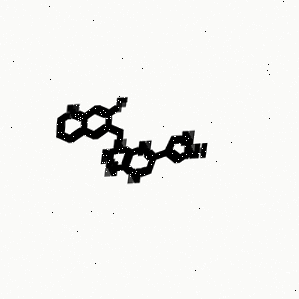 Fc1cc2ncccc2cc1Cn1nnc2ncc(-c3cn[nH]c3)nc21